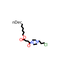 CCCCCCCCCCCCCCCCOC(=O)CCC(=O)N1CCN(CCCCl)CC1